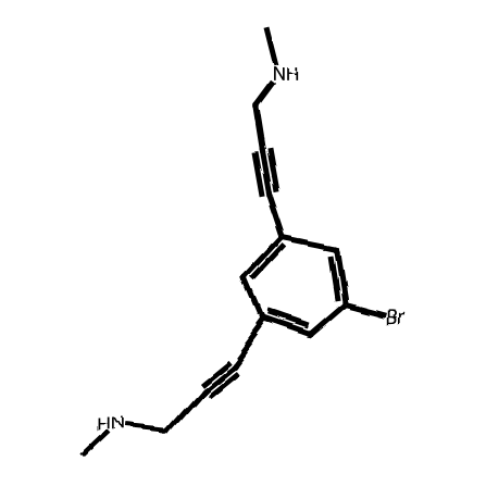 CNCC#Cc1cc(Br)cc(C#CCNC)c1